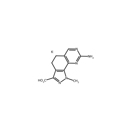 Cn1nc(C(=O)O)c2c1-c1nc(N)ncc1CC2.[K]